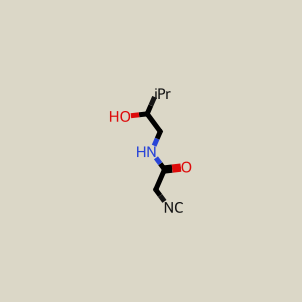 [C-]#[N+]CC(=O)NCC(O)C(C)C